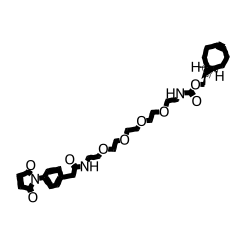 O=C(Cc1ccc(N2C(=O)C=CC2=O)cc1)NCCOCCOCCOCCOCCNC(=O)OC[C@@H]1[C@@H]2CCC#CCC[C@@H]21